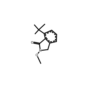 CON1Cc2cccc(C(C)(C)C)c2C1=O